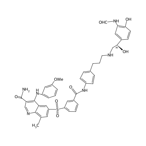 COc1cccc(Nc2c(C(N)=O)cnc3c(C)cc(S(=O)(=O)c4cccc(C(=O)Nc5ccc(CCCNC[C@H](O)c6ccc(O)c(NC=O)c6)cc5)c4)cc23)c1